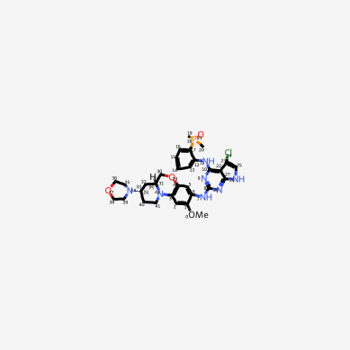 COc1cc2c(cc1Nc1nc(Nc3ccccc3P(C)(C)=O)c3c(Cl)c[nH]c3n1)OC[C@H]1C[C@@H](N3CCOCC3)CCN21